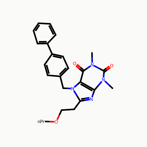 CCCOCCc1nc2c(c(=O)n(C)c(=O)n2C)n1Cc1ccc(-c2ccccc2)cc1